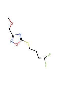 COCc1noc(SCCC=C(F)F)n1